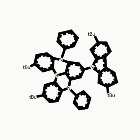 CC(C)(C)c1ccc2c(c1)B1c3cc(C(C)(C)C)ccc3N(c3ccccc3)c3cc(-n4c5cc(C(C)(C)C)ccc5c5ccc(C(C)(C)C)cc54)cc(c31)N2c1ccccc1